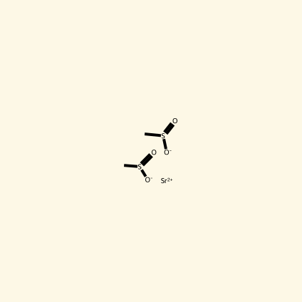 CS(=O)[O-].CS(=O)[O-].[Sr+2]